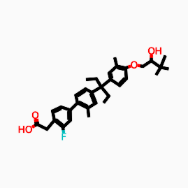 CCC(CC)(c1ccc(OCC(O)C(C)(C)C)c(C)c1)c1ccc(-c2ccc(CC(=O)O)c(F)c2)c(C)c1